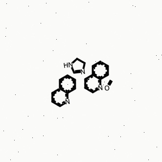 C1=NCCN1.C=O.c1ccc2ncccc2c1.c1ccc2ncccc2c1